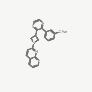 COc1cccc(-c2nccnc2C2CN(c3ccc4cccnc4n3)C2)c1